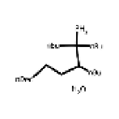 CCCCCCCCCCCCC(CCCC)C(P)(CCCC)CCCC.O